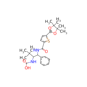 CC(C)(C)C(NC(=O)O)C(NC(=O)c1ccc(B2OC(C)(C)C(C)(C)O2)s1)c1ccccc1